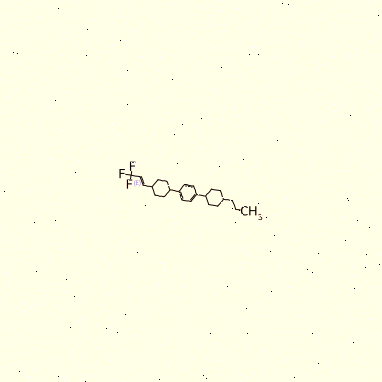 CCCC1CCC(c2ccc(C3CCC(/C=C/C(F)(F)F)CC3)cc2)CC1